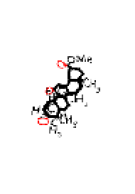 COC(=O)C1CCC2(C)CC[C@]3(C)C(=CC(=O)[C@@H]4C5(C)C=CC(=O)C(C)(C)[C@@H]5CCC43C)C2C1